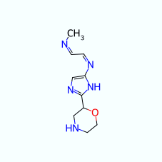 C/N=C\C=N/c1cnc(C2CNCCO2)[nH]1